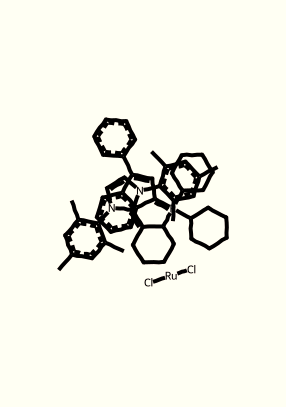 Cc1cc(C)c(N2C=CN(c3c(C)cc(C)cc3C)C2=C2CCCCC2P(=C2C=C(c3ccccc3)c3ccccc32)(C2CCCCC2)C2CCCCC2)c(C)c1.[Cl][Ru][Cl]